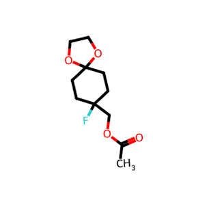 CC(=O)OCC1(F)CCC2(CC1)OCCO2